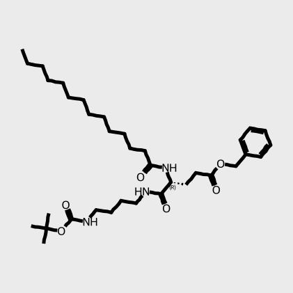 CCCCCCCCCCCCCC(=O)N[C@H](CCC(=O)OCc1ccccc1)C(=O)NCCCCNC(=O)OC(C)(C)C